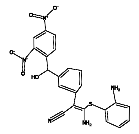 N#C/C(=C(\N)Sc1ccccc1N)c1cccc(C(O)c2ccc([N+](=O)[O-])cc2[N+](=O)[O-])c1